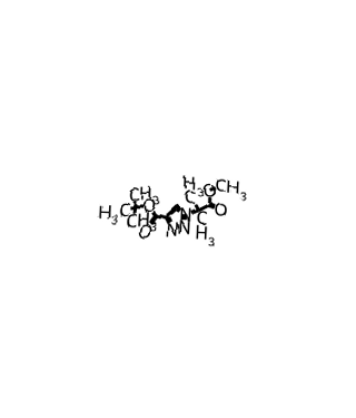 COC(=O)C(C)(C)n1cc(C(=O)OC(C)(C)C)nn1